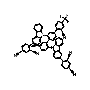 N#Cc1ccc(-c2ccc3c(c2)c2ccccc2n3-c2ccc(C#N)cc2-c2ccc(-c3ccc(C(F)(F)F)cc3C#N)cc2-n2c3ccccc3c3cc(-c4ccc(C#N)cc4C#N)ccc32)c(C#N)c1